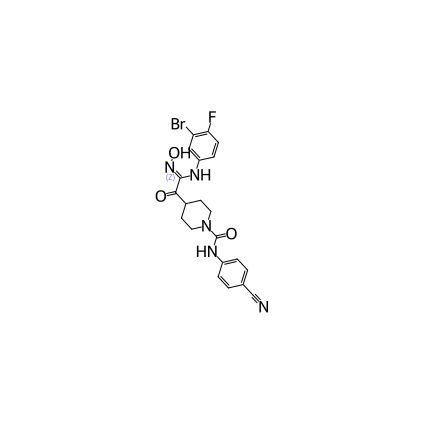 N#Cc1ccc(NC(=O)N2CCC(C(=O)/C(=N/O)Nc3ccc(F)c(Br)c3)CC2)cc1